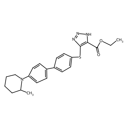 CCOC(=O)c1[nH]nnc1Sc1ccc(-c2ccc(N3CCCCC3C)cc2)cc1